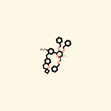 COc1ccc(C2O[C@H](COCc3ccccc3)[C@@H](C)[C@H](OCc3ccccc3)[C@H]2OCc2ccccc2)cc1Cc1ccc2c(c1)CCC1(CCC1)O2